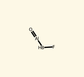 [O]=[Al][BH]F